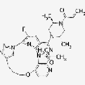 C=CC(=O)N1C[C@H](C)N(c2nc(=O)n3c4nc(c(F)cc24)-n2cc(nn2)CCCOc2ccnc(C(C)C)c2-3)C[C@H]1C